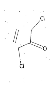 C=C.O=C(CCl)CCl